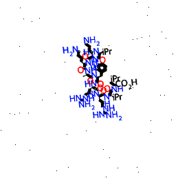 CC(C)C[C@H](NC(=O)[C@@H](NC(=O)[C@H](CCCNC(=N)N)NC(=O)[C@H](CCCNC(=N)N)NC(=O)[C@H](Cc1ccccc1)NC(=O)[C@H](C)NC(=O)[C@H](CCCCN)NC(=O)[C@H](CCCCN)NC(=O)[C@@H](N)C(C)C)C(C)C)C(=O)O